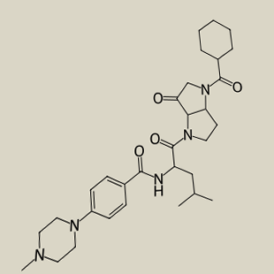 CC(C)CC(NC(=O)c1ccc(N2CCN(C)CC2)cc1)C(=O)N1CCC2C1C(=O)CN2C(=O)C1CCCCC1